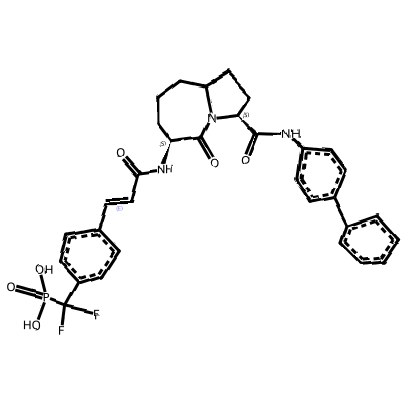 O=C(/C=C/c1ccc(C(F)(F)P(=O)(O)O)cc1)N[C@H]1CCCC2CC[C@@H](C(=O)Nc3ccc(-c4ccccc4)cc3)N2C1=O